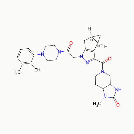 Cc1cccc(N2CCN(C(=O)Cn3nc(C(=O)N4CCC5C(C4)NC(=O)N5C)c4c3C[C@H]3C[C@@H]43)CC2)c1C